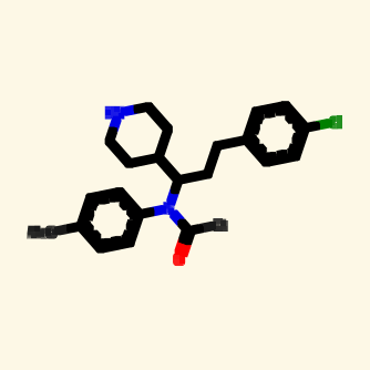 CCC(=O)N(c1ccc(OC)cc1)C(CCc1ccc(Cl)cc1)C1CCNCC1